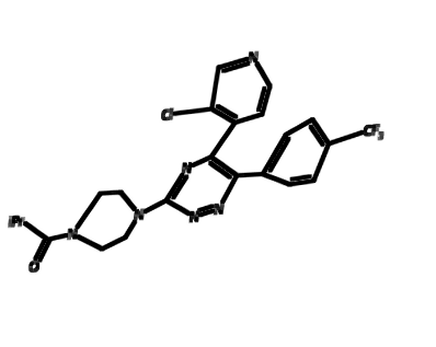 CC(C)C(=O)N1CCN(c2nnc(-c3ccc(C(F)(F)F)cc3)c(-c3ccncc3Cl)n2)CC1